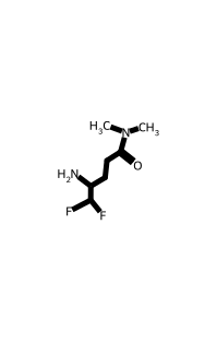 CN(C)C(=O)CCC(N)C(F)F